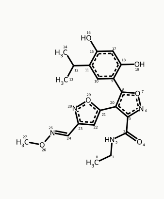 CCNC(=O)c1noc(-c2cc(C(C)C)c(O)cc2O)c1-c1cc(C=NOC)no1